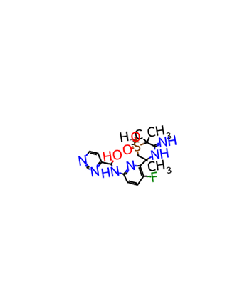 CC1(C)C(=N)N[C@](C)(c2nc(NC(O)c3ccncn3)ccc2F)CS1(=O)=O